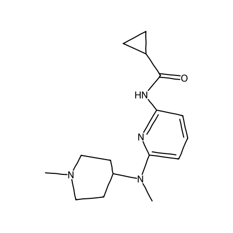 CN1CCC(N(C)c2cccc(NC(=O)C3CC3)n2)CC1